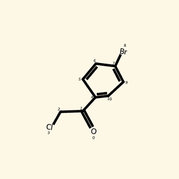 O=C(CCl)c1ccc(Br)cc1